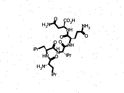 CC(C)C[C@H](NC(=O)[C@@H](N)CC(C)C)C(=O)N[C@H](C(=O)N[C@@H](CCC(N)=O)C(=O)N[C@@H](CC(N)=O)C(=O)O)C(C)C